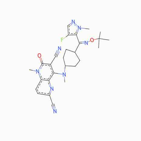 CN(c1c(C#N)c(=O)n(C)c2ccc(C#N)nc12)C1CCC(/C(=N/OC(C)(C)C)c2c(F)cnn2C)CC1